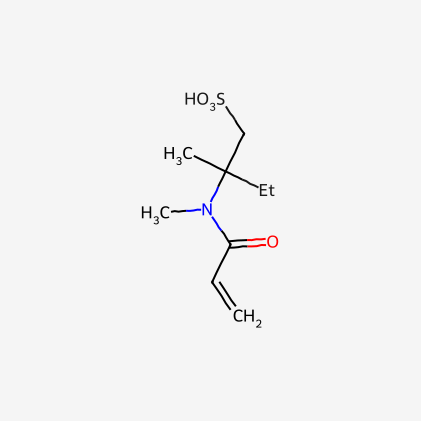 C=CC(=O)N(C)C(C)(CC)CS(=O)(=O)O